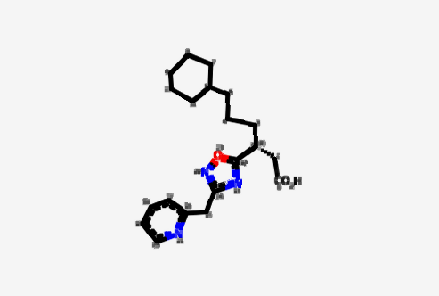 O=C(O)C[C@@H](CCCC1CCCCC1)c1nc(Cc2ccccn2)no1